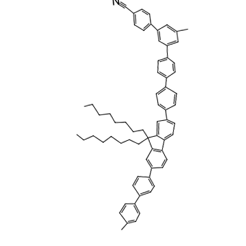 CCCCCCCCC1(CCCCCCCC)c2cc(-c3ccc(-c4ccc(C)cc4)cc3)ccc2-c2ccc(-c3ccc(-c4ccc(-c5cc(C)cc(-c6ccc(C#N)cc6)c5)cc4)cc3)cc21